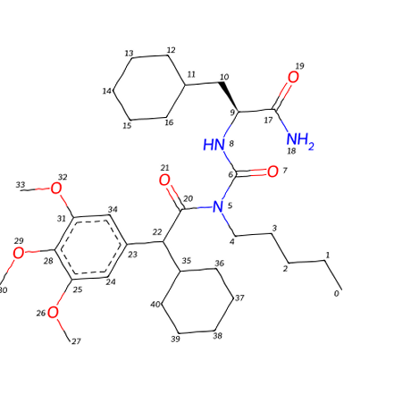 CCCCCN(C(=O)N[C@@H](CC1CCCCC1)C(N)=O)C(=O)C(c1cc(OC)c(OC)c(OC)c1)C1CCCCC1